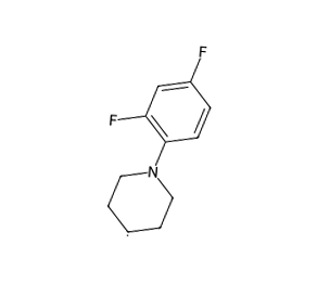 Fc1ccc(N2CC[CH]CC2)c(F)c1